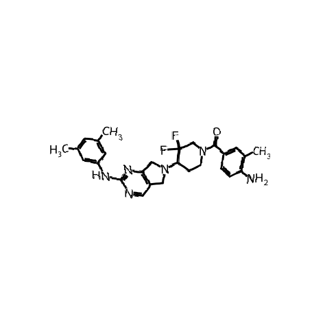 Cc1cc(C)cc(Nc2ncc3c(n2)CN(C2CCN(C(=O)c4ccc(N)c(C)c4)CC2(F)F)C3)c1